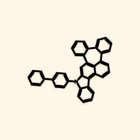 c1ccc(-c2ccc(-n3c4ccccc4c4c5cccc6c5c(cc43)-c3ccccc3-c3ccccc3-6)cc2)cc1